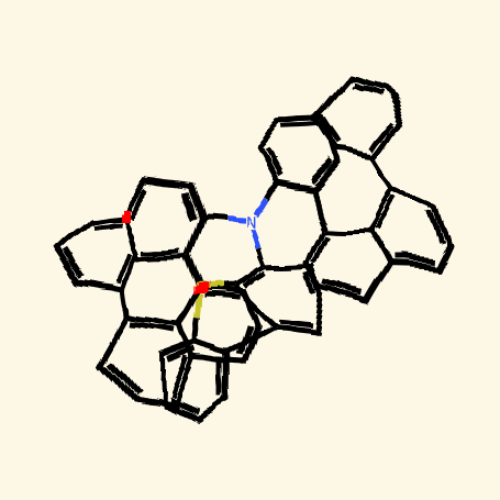 c1ccc(-c2cccc3cccc(-c4ccccc4N(c4ccccc4-c4cccc5cccc(-c6ccccc6)c45)c4cccc5c4sc4ccccc45)c23)cc1